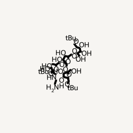 CC(C)(C)OCC1OC(CO)(OCC2OC(COC3(CO)OC(COC(C)(C)C)C(O)C3O)(OCC(CO)OC(CO)(CNCCN)OC(C)(C)C)C(O)C2O)C(O)C1O